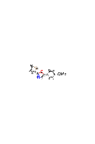 COc1ccc(-c2cnc(-c3cccs3)o2)cc1